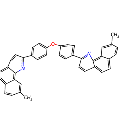 Cc1ccc2ccc3ccc(-c4ccc(Oc5ccc(-c6ccc7ccc8ccc(C)cc8c7n6)cc5)cc4)nc3c2c1